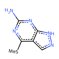 CSc1nc(N)nc2[nH]ncc12